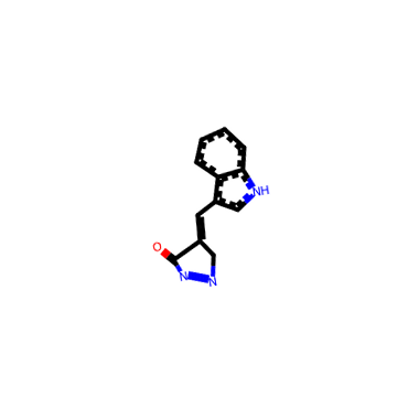 O=C1N=NCC1=Cc1c[nH]c2ccccc12